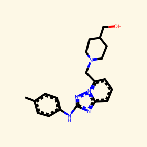 Cc1ccc(Nc2nc3cccc(CN4CCC(CO)CC4)n3n2)cc1